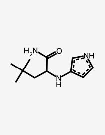 CC(C)(C)CC(Nc1cc[nH]c1)C(N)=O